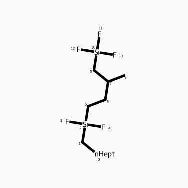 CCCCCCCC[Si](F)(F)CCC(C)C[Si](F)(F)F